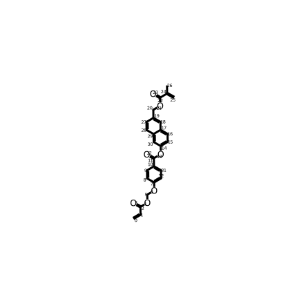 C=CC(=O)OCOc1ccc(C(=O)Oc2ccc3cc(COC(=O)C(=C)C)ccc3c2)cc1